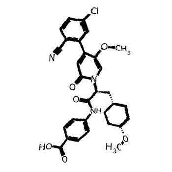 COc1cn([C@@H](C[C@H]2CC[C@@H](OC)CC2)C(=O)Nc2ccc(C(=O)O)cc2)c(=O)cc1-c1cc(Cl)ccc1C#N